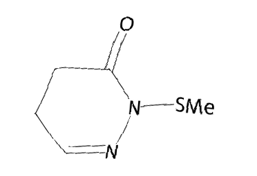 CSN1N=CCCC1=O